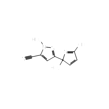 CC1=NC(C)(c2cc(C#N)n(C)n2)C=C1